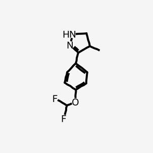 CC1CNN=C1c1ccc(OC(F)F)cc1